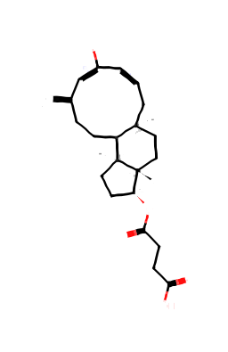 C=C1/C=C(O)\C=C/C[C@H]2CC[C@]3(C)[C@@H](OC(=O)CCC(=O)O)CC[C@H]3C2CC1